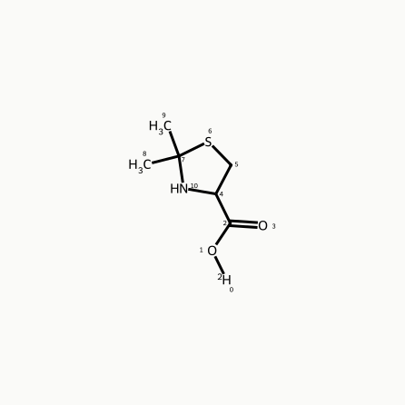 [2H]OC(=O)C1CSC(C)(C)N1